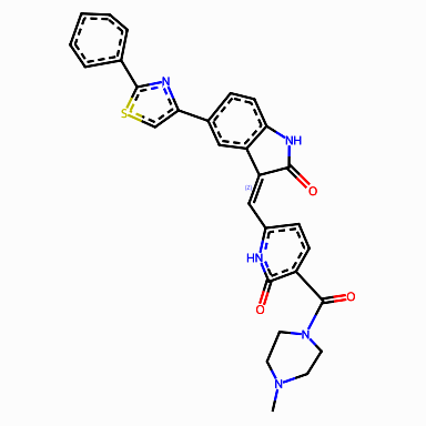 CN1CCN(C(=O)c2ccc(/C=C3\C(=O)Nc4ccc(-c5csc(-c6ccccc6)n5)cc43)[nH]c2=O)CC1